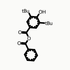 CC(C)(C)c1cc(C(=O)OC(=O)c2ccccc2)cc(C(C)(C)C)c1O